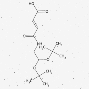 CC(C)(C)OC(CNC(=O)C=CC(=O)O)OC(C)(C)C